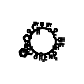 CC(C)C[C@@H]1NC(=O)[C@H](C(C)C)OC(=O)C[C@H](O)[C@@H](C(C)C)NC(=O)[C@@H](N)[C@@H](C)OC(=O)[C@H](Cc2ccccc2)N(C)C(=O)[C@@H]2CCCN2C1=O